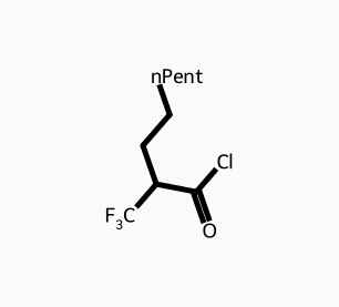 CCCCCCCC(C(=O)Cl)C(F)(F)F